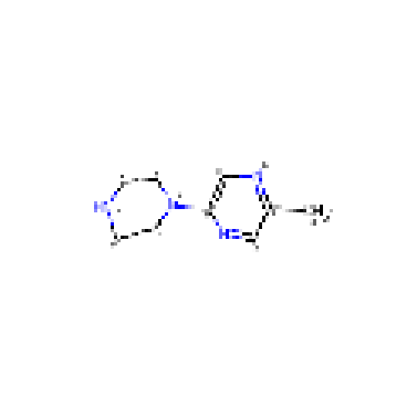 [CH2]c1cnc(N2CCNCC2)cn1